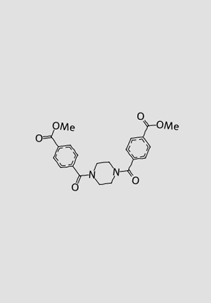 COC(=O)c1ccc(C(=O)N2CCN(C(=O)c3ccc(C(=O)OC)cc3)CC2)cc1